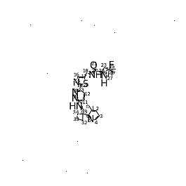 Cc1cccnc1C1(CNc2ccc(-c3ncc(CNC(=O)C4CC(F)(F)CN4)s3)nn2)CCC1